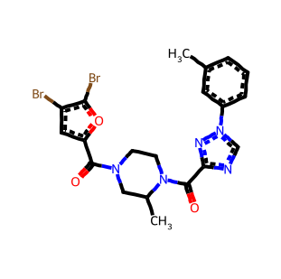 Cc1cccc(-n2cnc(C(=O)N3CCN(C(=O)c4cc(Br)c(Br)o4)CC3C)n2)c1